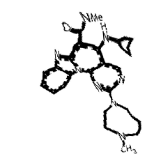 CNC(=O)c1c(NC2CC2)c2cnc(N3CCCN(C)CC3)nc2n2c1nc1ccccc12